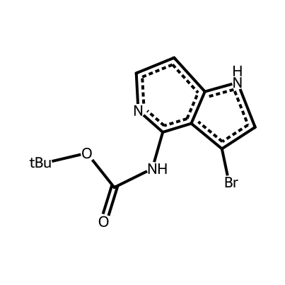 CC(C)(C)OC(=O)Nc1nccc2[nH]cc(Br)c12